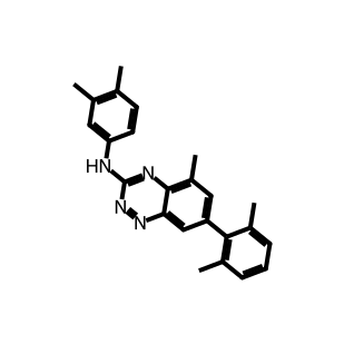 Cc1ccc(Nc2nnc3cc(-c4c(C)cccc4C)cc(C)c3n2)cc1C